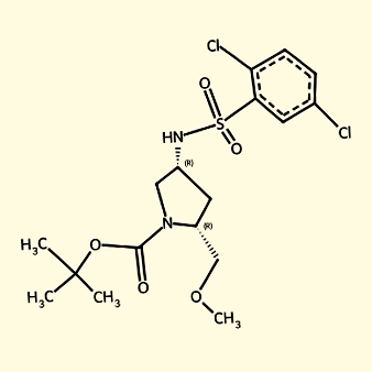 COC[C@H]1C[C@@H](NS(=O)(=O)c2cc(Cl)ccc2Cl)CN1C(=O)OC(C)(C)C